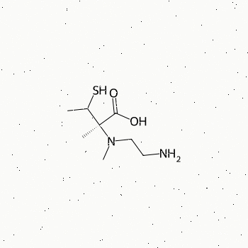 CC(S)[C@@](C)(C(=O)O)N(C)CCN